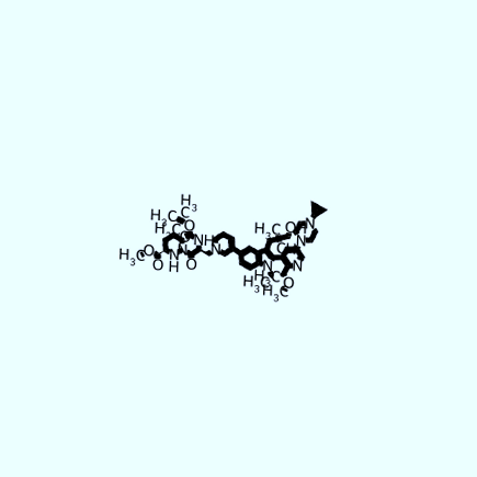 CCn1c(-c2cc(N3CCN(C4CC4)CC3)cnc2[C@H](C)OC)c(CC(C)(C)CO)c2cc(C3=CCCN(C[C@H](NC(=O)OC(C)(C)C)C(=O)N4CCC[C@@H](C(=O)OC)N4)C3)ccc21